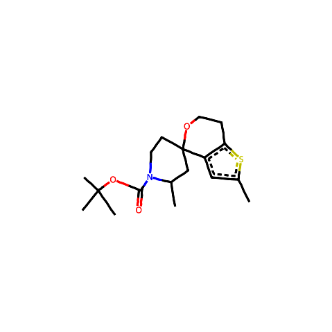 Cc1cc2c(s1)CCOC21CCN(C(=O)OC(C)(C)C)C(C)C1